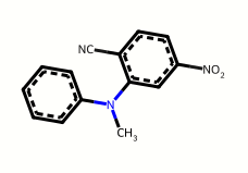 CN(c1ccccc1)c1cc([N+](=O)[O-])ccc1C#N